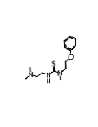 CN(C)CCNC(=S)N(C)CCOc1ccccc1